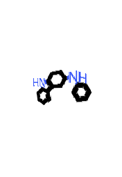 c1ccc(NC2CCc3[nH]c4ccccc4c3C2)cc1